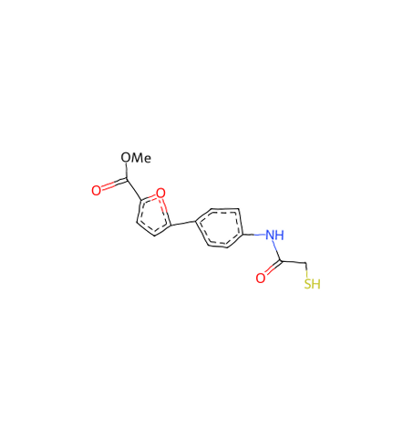 COC(=O)c1ccc(-c2ccc(NC(=O)CS)cc2)o1